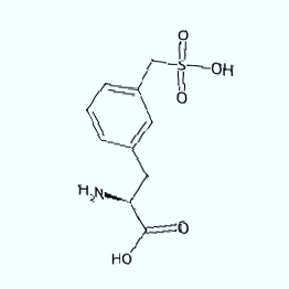 N[C@@H](Cc1cccc(CS(=O)(=O)O)c1)C(=O)O